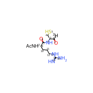 [2H]C(=O)[C@H](CS)NC(=O)[C@H](CCCNC(=N)N)NC(C)=O